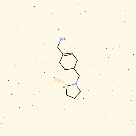 NCC1=CCC(CN2CCC[C@@H]2P)CC1